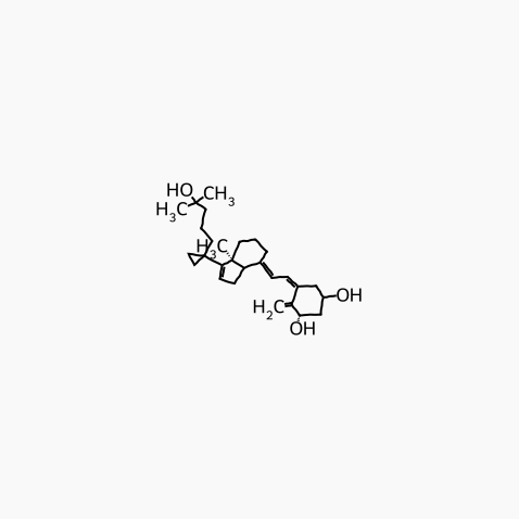 C=C1/C(=C\C=C2/CCC[C@]3(C)C(C4(CCCC(C)(C)O)CC4)=CCC23)CC(O)C[C@@H]1O